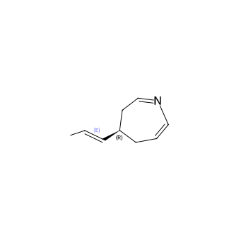 C/C=C/[C@@H]1CC=CN=CC1